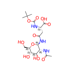 CC(=O)N[C@@H]1[C@@H](O)[C@H](O)[C@@H](CO)O[C@H]1NC(=O)C[C@H](NC(=O)OC(C)(C)C)C(=O)O